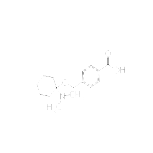 CN(C)C1(OCc2ccc(C(=O)O)cc2)CCCCC1